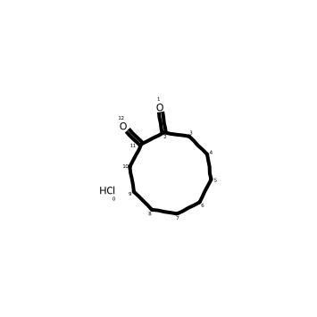 Cl.O=C1CCCCCCCCC1=O